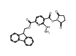 NNc1nc(C(=O)OCC2c3ccccc3-c3ccccc32)ccc1C(=O)ON1C(=O)CCC1=O